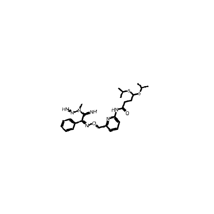 CC(C)SC(CCC(=O)Nc1cccc(CO/N=C(\C(=N)N(C)N=N)c2ccccc2)n1)SC(C)C